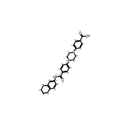 O=C(O)c1ccc(N2CCN(c3ccc(C(=O)Nc4ccc5c(c4)CCCC5)cc3)CC2)cc1